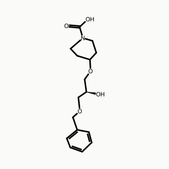 O=C(O)N1CCC(OC[C@@H](O)COCc2ccccc2)CC1